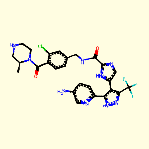 C[C@H]1CNCCN1C(=O)c1ccc(CNC(=O)c2ncc(-c3c(C(F)(F)F)n[nH]c3-c3ccc(N)cn3)[nH]2)cc1Cl